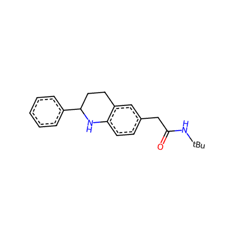 CC(C)(C)NC(=O)Cc1ccc2c(c1)CCC(c1ccccc1)N2